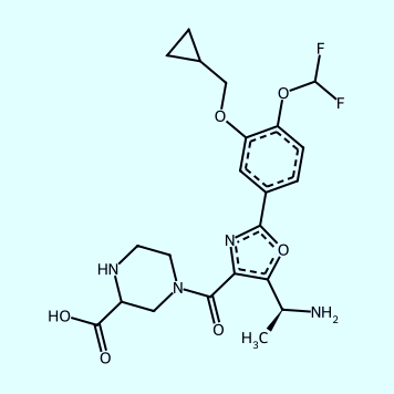 C[C@H](N)c1oc(-c2ccc(OC(F)F)c(OCC3CC3)c2)nc1C(=O)N1CCNC(C(=O)O)C1